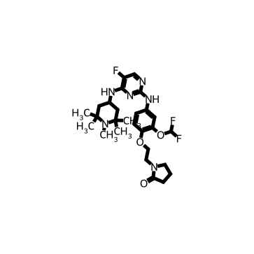 CN1C(C)(C)CC(Nc2nc(Nc3ccc(OCCN4CCCC4=O)c(OC(F)F)c3)ncc2F)CC1(C)C